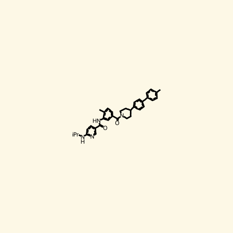 Cc1ccc(-c2ccc(C3CCN(C(=O)c4ccc(C)c(NC(=O)c5ccc(NC(C)C)nc5)c4)CC3)cc2)cc1